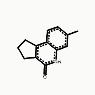 Cc1ccc2c3c(c(=O)[nH]c2c1)CCC3